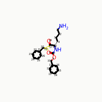 NCCCC[C@H](NC(=O)OCc1ccccc1)C(=O)SCc1ccccc1